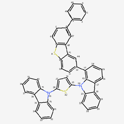 c1ccc(-c2ccc3sc4ccc(-c5cccc6c7ccccc7n(-c7ccc(-n8c9ccccc9c9ccccc98)s7)c56)cc4c3c2)cc1